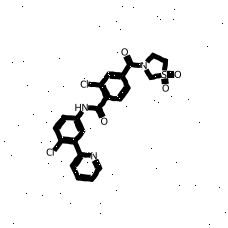 O=C(Nc1ccc(Cl)c(-c2ccccn2)c1)c1ccc(C(=O)N2CCS(=O)(=O)C2)cc1Cl